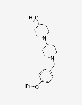 CC1CCN(C2CCN(Cc3ccc(OC(C)C)cc3)CC2)CC1